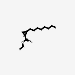 CCCCCCCCC1CC1C(=O)OCC